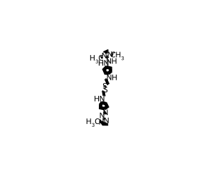 Cn1ccnc1/N=N/c1ccc(NCCSSCCNc2ccc(NNc3n(C)cc[n+]3C)cc2)cc1